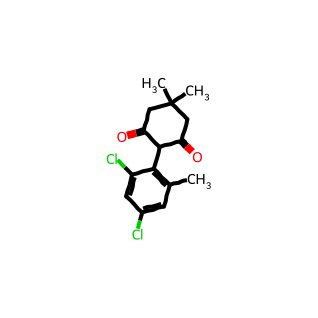 Cc1cc(Cl)cc(Cl)c1C1C(=O)CC(C)(C)CC1=O